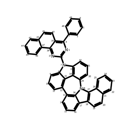 c1ccc(-c2nc(-n3c4cccc5c6cccc7c8ccc9ccccc9c8n(c8cccc3c8c54)c67)nc3c2ccc2ccccc23)cc1